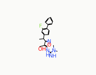 CC(c1ccc(-c2ccccc2)c(F)c1)c1noc(NC(=N)N(C)C)c1CO